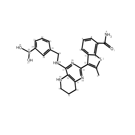 Cc1sc2c(C(N)=O)cccc2c1-c1nc2c(c(NCc3cccc(B(O)O)c3)n1)NCCC2